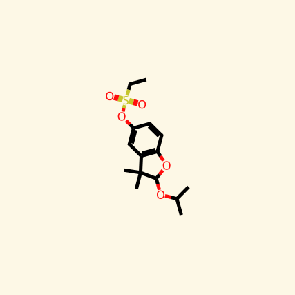 CCS(=O)(=O)Oc1ccc2c(c1)C(C)(C)C(OC(C)C)O2